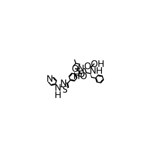 CC(C)CN(C[C@@H](O)[C@H](Cc1ccccc1)NC(=O)O)S(=O)(=O)c1ccc(-c2csc(Nc3ccncc3)n2)cc1